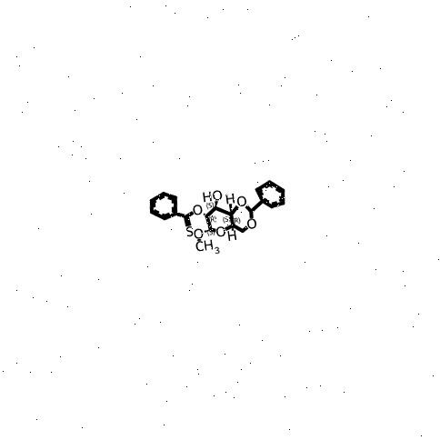 CO[C@H]1O[C@@H]2COC(c3ccccc3)O[C@H]2[C@H](O)[C@H]1OC(=S)c1ccccc1